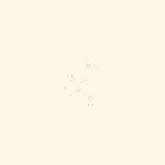 [C-]#[N+]c1cccc(-c2nc(-c3cc(-n4c5ccc(-c6ccccc6)cc5c5cc(-c6ccc7c(c6)c6cc(-c8ccccc8)ccc6n7-c6ccccc6)ccc54)cc(-n4c5ccc(-c6ccccc6)cc5c5cc(-c6ccc7c(c6)c6cc(-c8ccccc8)ccc6n7-c6ccccc6)ccc54)c3)nc3ccc4ccccc4c23)c1